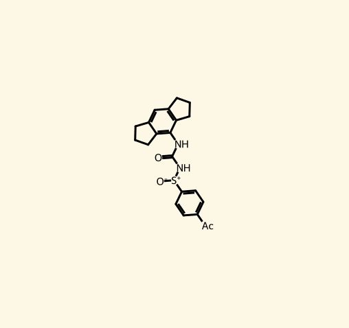 CC(=O)c1ccc([S+]([O-])NC(=O)Nc2c3c(cc4c2CCC4)CCC3)cc1